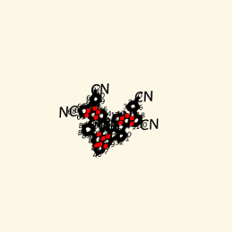 N#Cc1ccc2c(c1)c1cc(C#N)ccc1n2-c1ccc2c(c1)N(c1c(-c3ccccc3)cccc1-c1ccccc1)c1cc(-c3ccccc3)cc3c1B2c1ccc(-n2c4ccc(C#N)cc4c4cc(C#N)ccc42)cc1N3c1c(-c2ccccc2)cccc1-c1ccccc1